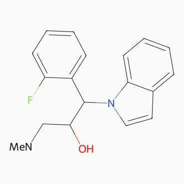 CNCC(O)C(c1ccccc1F)n1ccc2ccccc21